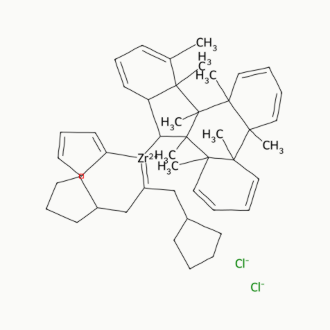 CC1=CC=CC2[CH]([Zr+2]([C]3=CC=CC3)=[C](CC3CCCC3)CC3CCCC3)C3(C)C4(C)C=CC=CC4(C)C4(C)C=CC=CC4(C)C3(C)C12C.[Cl-].[Cl-]